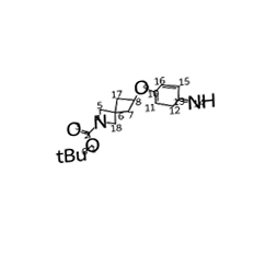 CC(C)(C)OC(=O)N1CC2(CC(OC3=CCC(=N)C=C3)C2)C1